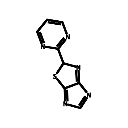 C1=NC2=NC(c3ncccn3)SC2=N1